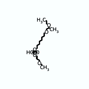 CCCOC(C)COCCCCCCCCOP(=O)(O)OC=CCOCC